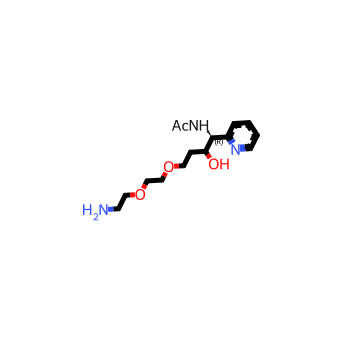 CC(=O)N[C@H](c1ccccn1)C(O)CCOCCOCCN